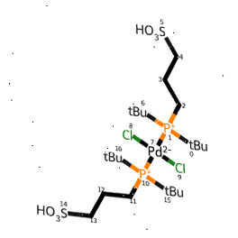 CC(C)(C)[P+](CCCS(=O)(=O)O)(C(C)(C)C)[Pd-2]([Cl])([Cl])[P+](CCCS(=O)(=O)O)(C(C)(C)C)C(C)(C)C